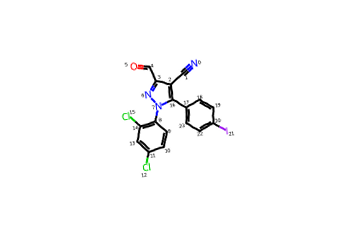 N#Cc1c(C=O)nn(-c2ccc(Cl)cc2Cl)c1-c1ccc(I)cc1